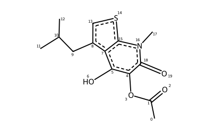 CC(=O)Oc1c(O)c2c(CC(C)C)csc2n(C)c1=O